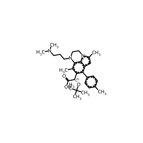 Cc1ccc(-c2c([C@H](OC(C)(C)C)C(=O)O)c(C)c3c4c2cc(C)n4CCN3CCCN(C)C)cc1